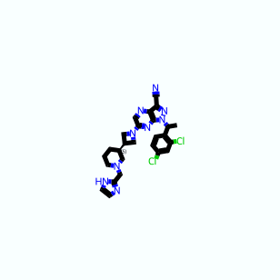 CC(c1ccc(Cl)cc1Cl)n1nc(C#N)c2ncc(N3CC([C@@H]4CCCN(Cc5ncc[nH]5)C4)C3)nc21